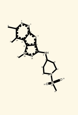 Cc1nnc2sc3c(NC4CCN(S(C)(=O)=O)CC4)nn(C)c3c2c1C